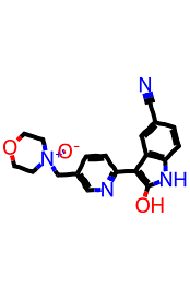 N#Cc1ccc2[nH]c(O)c(-c3ccc(C[N+]4([O-])CCOCC4)cn3)c2c1